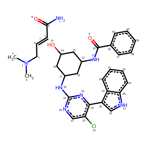 CN(C)C/C=C/C(N)=O.O=C(NC1CC(O)CC(Nc2ncc(Cl)c(-c3c[nH]c4ccccc34)n2)C1)c1ccccc1